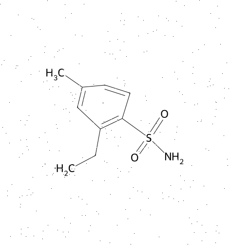 [CH2]Cc1cc(C)ccc1S(N)(=O)=O